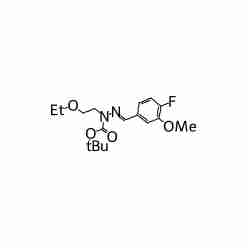 CCOCCN(/N=C/c1ccc(F)c(OC)c1)C(=O)OC(C)(C)C